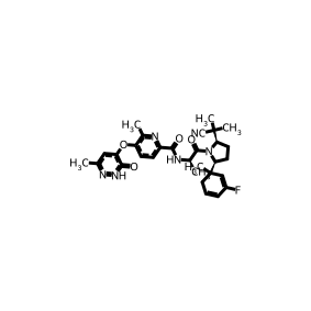 Cc1cc(Oc2ccc(C(=O)N[C@H](C)C(=O)N3[C@H](C4(C)C=C(F)C=CC4)CC[C@@H]3C(C)(C)C#N)nc2C)c(=O)[nH]n1